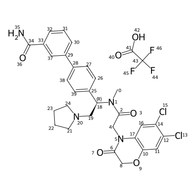 CN(C(=O)CN1C(=O)COc2cc(Cl)c(Cl)cc21)[C@@H](CN1CCCC1)c1ccc(-c2cccc(C(N)=O)c2)cc1.O=C(O)C(F)(F)F